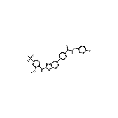 COc1cc(S(C)(=O)=O)ccc1Nc1nc2ccc(-c3ccc(C(=O)NCc4ccc(Cl)cc4)cc3)cn2n1